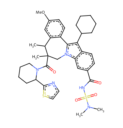 COc1ccc2c(c1)C(C)C(C)(C(=O)N1CCCCC1c1nccs1)Cn1c-2c(C2CCCCC2)c2ccc(C(=O)NS(=O)(=O)N(C)C)cc21